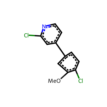 COc1cc(-c2ccnc(Cl)c2)ccc1Cl